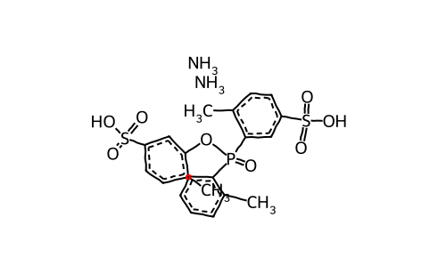 Cc1ccc(S(=O)(=O)O)cc1OP(=O)(c1ccccc1C)c1cc(S(=O)(=O)O)ccc1C.N.N